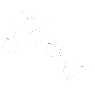 CCCCc1nc(=O)c(S(=O)(=O)c2ccc(-c3cncc(F)c3)cc2)c(O)n1[C@@H](CC)c1cccc(Cl)c1